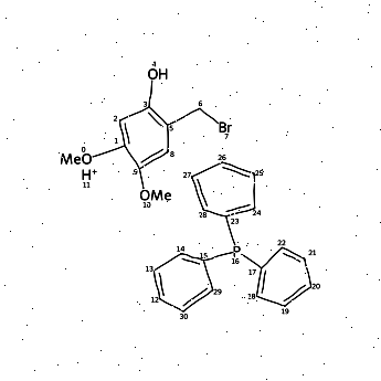 COc1cc(O)c(CBr)cc1OC.[H+].c1ccc(P(c2ccccc2)c2ccccc2)cc1